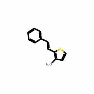 CC(=O)Oc1ccsc1C=Cc1ccccc1